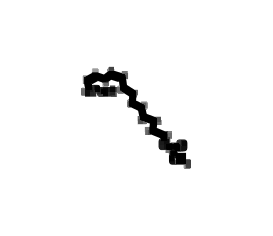 CCCCC/C=C\C/C=C\CCCCCCCCOS(C)=O